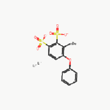 CCCCc1c(Oc2ccccc2)ccc(S(=O)(=O)[O-])c1S(=O)(=O)[O-].[Li+].[Li+]